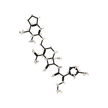 CO/N=C(\C(=O)NC1C(=O)N2C(C(=O)O)=C(CSC3=NC4=C(CCC4)C(N)N3N)CS[C@@H]12)c1csc(N)n1